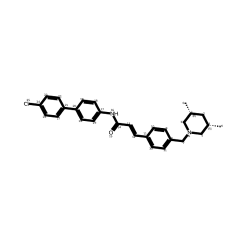 C[C@@H]1C[C@H](C)CN(Cc2ccc(C=CC(=O)Nc3ccc(-c4ccc(Cl)cc4)cc3)cc2)C1